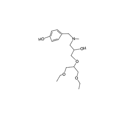 CCOCC(COCC)OCC(O)CN(C)Cc1ccc(O)cc1